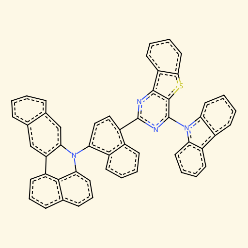 c1ccc2cc3c(cc2c1)-c1cccc2cccc(c12)N3c1ccc(-c2nc(-n3c4ccccc4c4ccccc43)c3sc4ccccc4c3n2)c2ccccc12